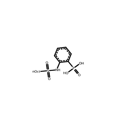 [CH2]CCCCCCCS(=O)(=O)Nc1ccccc1P(=O)(O)O